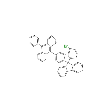 Brc1cccc(C2(c3ccc(C4=c5ccccc5=C(c5ccccc5)C5=CC=CCC54)cc3)c3ccccc3-c3ccccc32)c1